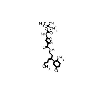 CCC/C=C(/CCNC(=O)c1cc(NC(=O)OC(C)(C)C)on1)c1cc(Cl)ccc1C